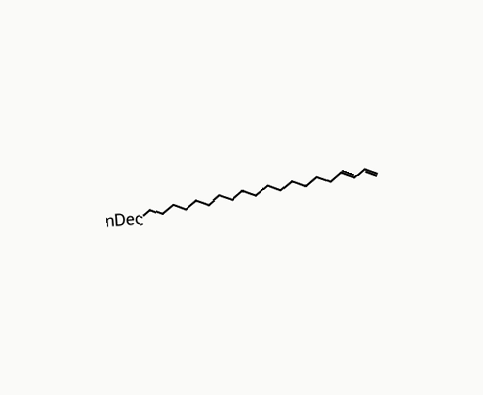 C=C/C=C/CCCCCCCCCCCCCCCCCCCCCCCCCC